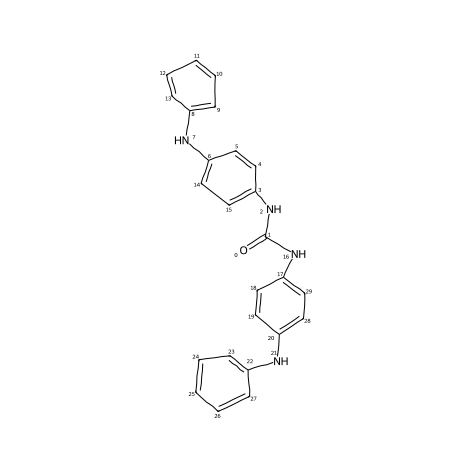 O=C(Nc1ccc(Nc2ccccc2)cc1)Nc1ccc(Nc2ccccc2)cc1